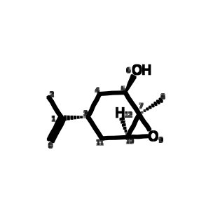 C=C(C)[C@@H]1C[C@@H](O)[C@@]2(C)O[C@H]2C1